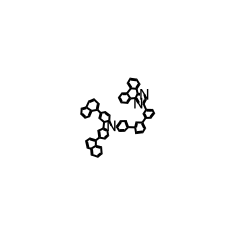 C1=CC2C(C=C1c1cccc3ccccc13)c1cc(-c3cccc4ccccc34)ccc1N2c1ccc(-c2cccc(-c3cccc(-c4cnc5c6ccccc6c6ccccc6c5n4)c3)c2)cc1